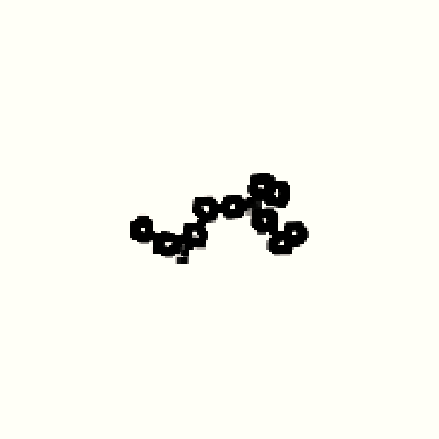 C1=CC(C2C=CC(N(c3ccc(-c4cccc5ccccc45)cc3)c3cccc4ccccc34)=CC2)=CC(C2C=c3c(sc4ccc(-c5ccccc5)cc34)=CC2)C1